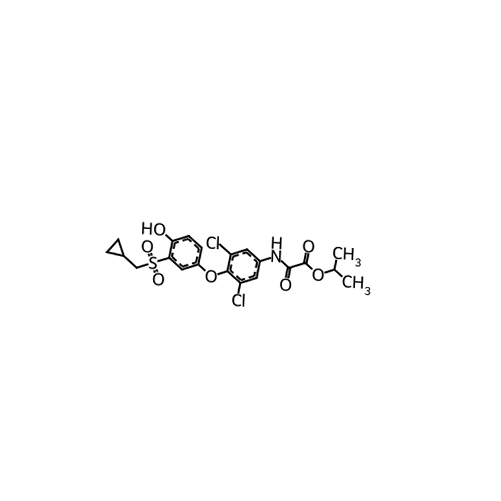 CC(C)OC(=O)C(=O)Nc1cc(Cl)c(Oc2ccc(O)c(S(=O)(=O)CC3CC3)c2)c(Cl)c1